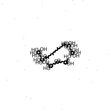 CC(/C=C/C=C(\C)C(=O)O[C@@H]1O[C@H](CO[C@@H]2O[C@H](CO)[C@@H](O)[C@H](O)[C@H]2O)[C@@H](O)[C@H](O)[C@H]1O)=C\C=C\C=C(C)\C=C\C=C(/C)C(=O)O[C@@H]1O[C@H](CO[C@@H]2O[C@H](CO)[C@@H](O)[C@H](O)[C@H]2O)[C@@H](O)[C@H](O)[C@H]1O.COc1cc(/C=C/C(=O)CC(=O)/C=C/c2ccc(O)c(OC)c2)ccc1O